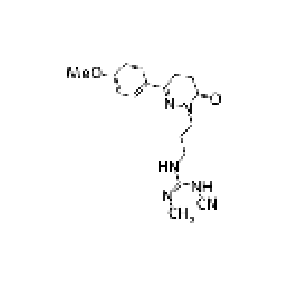 C/N=C(\NC#N)NCCCN1N=C(c2ccc(OC)cc2)CCC1=O